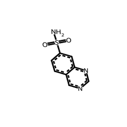 NS(=O)(=O)c1ccc2cncnc2c1